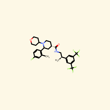 Cc1cc(F)ccc1C1C[C@@H](C(=O)NC[C@H](C)c2cc(C(F)(F)F)cc(C(F)(F)F)c2)CCN1C1CCOCC1